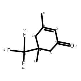 CC1=CC(=O)CC(C)(C(F)(F)F)C1